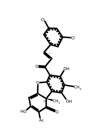 CC(=O)C1=C(O)C=C2Oc3c(C(=O)/C=C/c4cc(Cl)cc(Cl)c4)c(O)c(C)c(O)c3[C@]2(C)C1=O